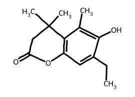 CCc1cc2c(c(C)c1O)C(C)(C)CC(=O)O2